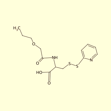 CCCOCC(=O)NC(CSSc1ccccn1)C(=O)O